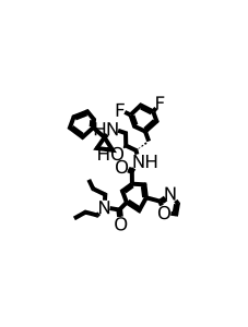 CCCN(CCC)C(=O)c1cc(C(=O)N[C@@H](Cc2cc(F)cc(F)c2)[C@H](O)CNC2(c3ccccc3)CC2)cc(-c2ncco2)c1